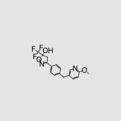 COc1ccc(Cc2ccc(C3=NOC(O)(C(F)(F)F)C3)cc2)cn1